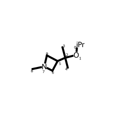 CC(C)OC(C)(C)C1CN(C)C1